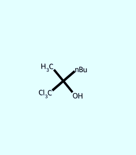 CCCCC(C)(O)C(Cl)(Cl)Cl